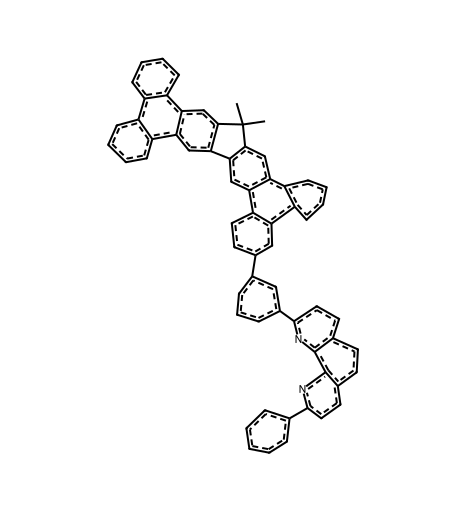 CC1(C)c2cc3c4ccccc4c4ccccc4c3cc2-c2cc3c4ccc(-c5cccc(-c6ccc7ccc8ccc(-c9ccccc9)nc8c7n6)c5)cc4c4ccccc4c3cc21